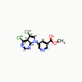 COC(=O)c1cncc(-n2cc(Cl)c3c(Cl)ncnc32)c1